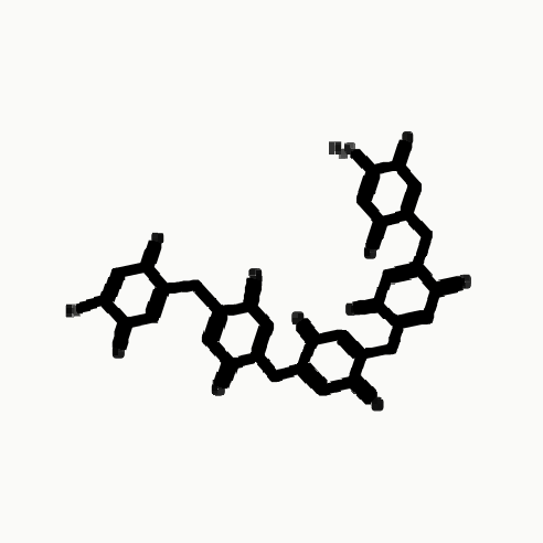 CCC1=CC(=O)C(CC2=CC(=O)C(CC3=CC(=O)C(CC4=CC(=O)C(CC5=CC(=O)C(C)=CC5=O)=CC4=O)=CC3=O)=CC2=O)=CC1=O